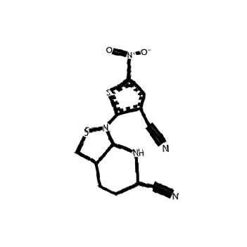 N#Cc1cc([N+](=O)[O-])sc1N1S[CH]C2[CH][CH]C(C#N)NC21